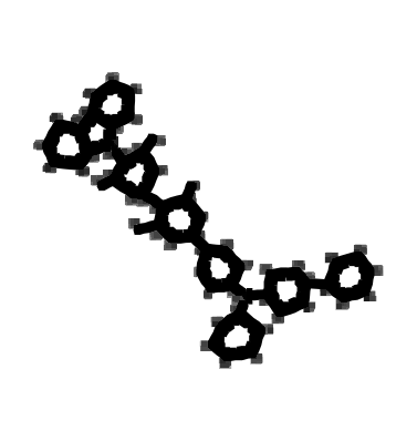 Cc1cc(-c2ccc(N(c3ccccc3)c3ccc(-c4ccccc4)cc3)cc2)cc(C)c1-c1cc(C)c(-n2c3ccccc3c3ccccc32)c(C)c1